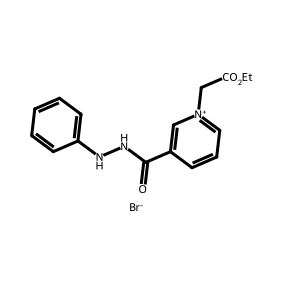 CCOC(=O)C[n+]1cccc(C(=O)NNc2ccccc2)c1.[Br-]